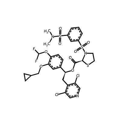 CN(C)S(=O)(=O)c1cccc(S(=O)(=O)N2CCS[C@H]2C(=O)O[C@@H](Cc2c(Cl)cncc2Cl)c2ccc(OC(F)F)c(OCC3CC3)c2)c1